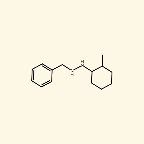 CC1CCCCC1NNCc1ccccc1